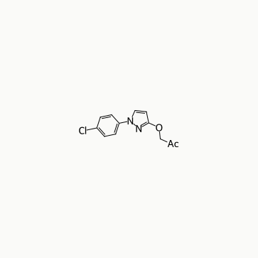 CC(=O)COc1ccn(-c2ccc(Cl)cc2)n1